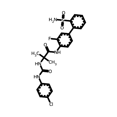 CC(C)(NC(=O)Nc1ccc(Cl)cc1)C(=O)Nc1ccc(-c2ccccc2S(N)(=O)=O)cc1F